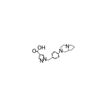 O=C(O)c1cnn(Cc2ccc(N3CCN4CCCC4C3)cc2)c1